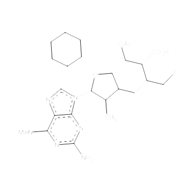 C1CCCCC1.CNc1nc(N)nc2c1ncn2[C@@H]1OCC(C[C@@H](CF)[C@H](COC(C)=O)C(=O)O)C1C